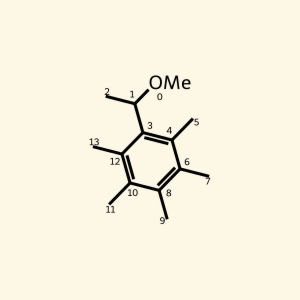 COC(C)c1c(C)c(C)c(C)c(C)c1C